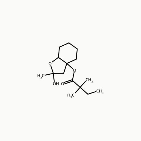 CCC(C)(C)C(=O)OC12CCCCC1OC(C)(O)C2